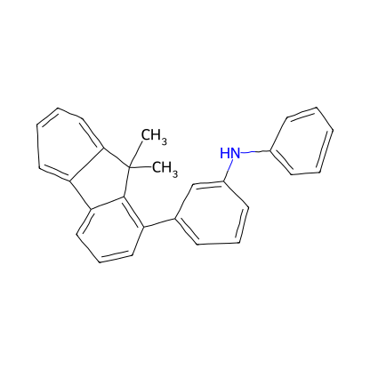 CC1(C)c2ccccc2-c2cccc(-c3cccc(Nc4ccccc4)c3)c21